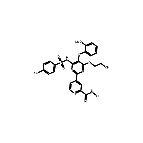 COc1ccccc1Oc1c(NS(=O)(=O)c2ccc(C(C)(C)C)cc2)nc(-c2ccnc(C(=N)NO)c2)nc1OCCO